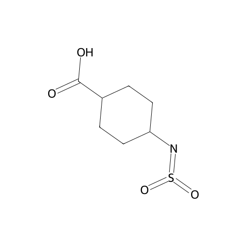 O=C(O)C1CCC(N=S(=O)=O)CC1